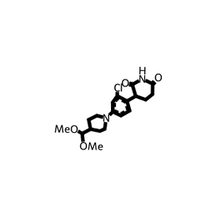 COC(OC)C1CCN(c2ccc(C3CCC(=O)NC3=O)c(Cl)c2)CC1